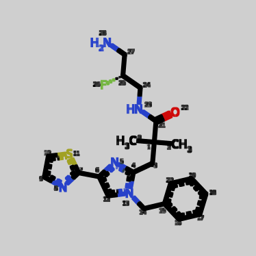 CC(C)([CH]c1nc(-c2nccs2)cn1Cc1ccccc1)C(=O)NC[C@H](F)CN